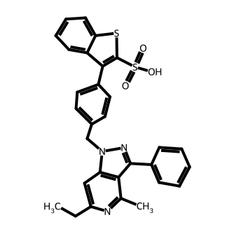 CCc1cc2c(c(C)n1)c(-c1ccccc1)nn2Cc1ccc(-c2c(S(=O)(=O)O)sc3ccccc23)cc1